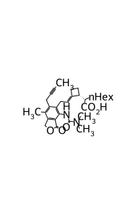 CC#CCc1c(C)c2c(c(NC(=O)N(C)C)c1CC=C1CC[C@@H]1C(CCCCCC)C(=O)O)C(=O)OC2